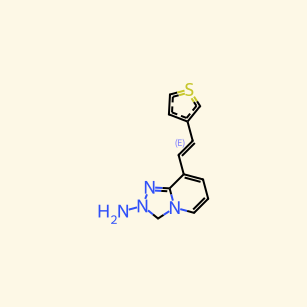 NN1CN2C=CC=C(/C=C/c3ccsc3)C2=N1